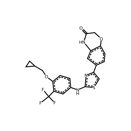 O=C1COc2ccc(-c3csc(Nc4ccc(OCC5CC5)c(C(F)(F)F)c4)n3)cc2N1